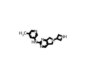 Cc1cncc(Nc2ncc3c(n2)CN(C2CNC2)C3)c1